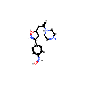 C=C(CC1CC(c2ccc(N=O)cc2)=NO1)N1CCNCC1